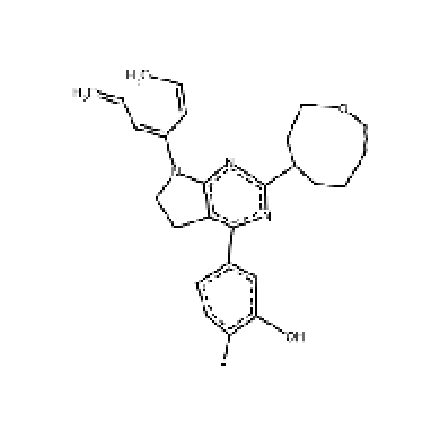 C=C/C=C(\C=C/C)N1CCc2c(-c3ccc(F)c(O)c3)nc(C3CCCCOCC3)nc21